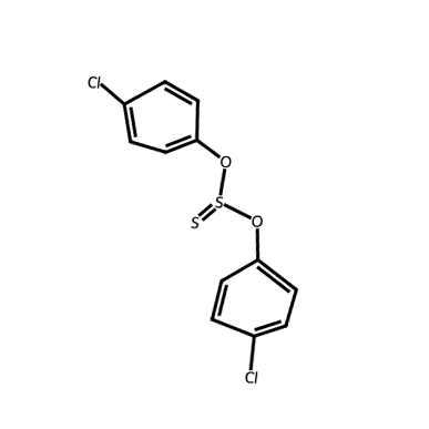 S=S(Oc1ccc(Cl)cc1)Oc1ccc(Cl)cc1